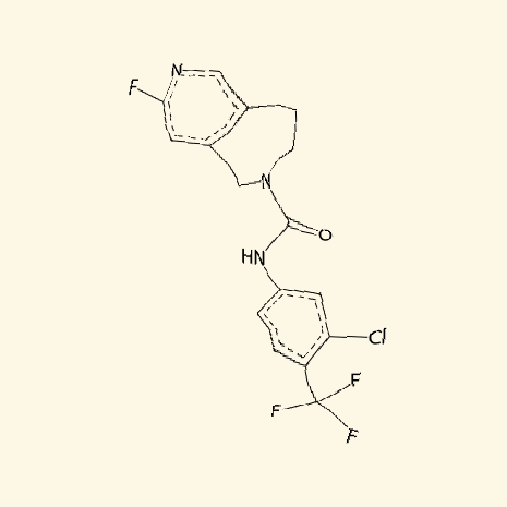 O=C(Nc1ccc(C(F)(F)F)c(Cl)c1)N1CCc2cnc(F)cc2C1